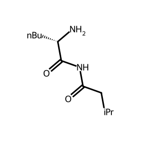 CCCC[C@H](N)C(=O)NC(=O)CC(C)C